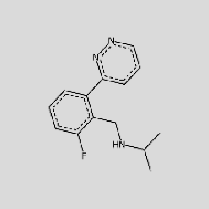 CC(C)NCc1c(F)cccc1-c1cccnn1